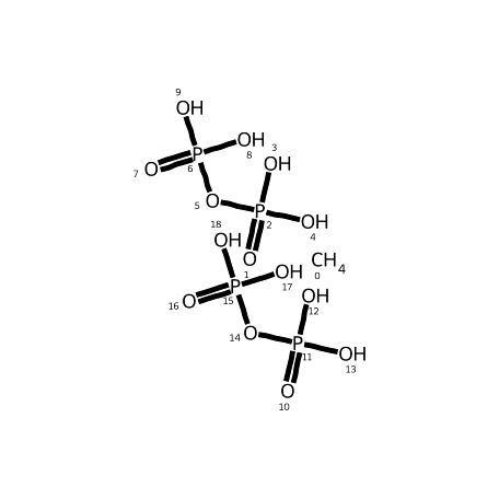 C.O=P(O)(O)OP(=O)(O)O.O=P(O)(O)OP(=O)(O)O